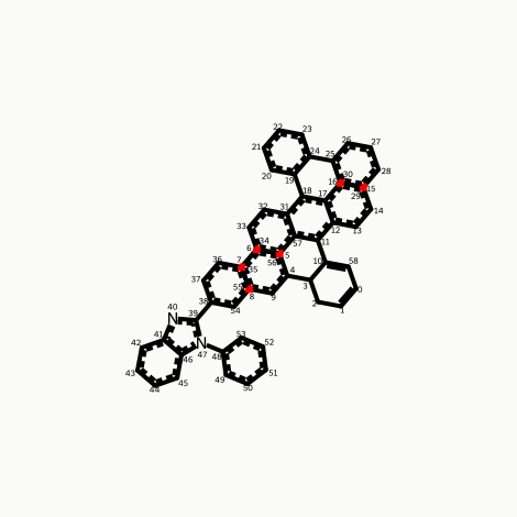 C1=CCC(c2ccccc2)C(c2c3ccccc3c(-c3ccccc3-c3ccccc3)c3ccc(-c4ccc(-c5nc6ccccc6n5-c5ccccc5)cc4)cc23)=C1